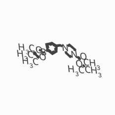 CC1OB(c2ccc(CN3CCN(C(=O)OC(C)(C)C)CC3)cc2)OC1(C)C